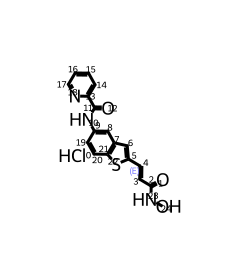 Cl.O=C(/C=C/c1cc2cc(NC(=O)c3ccccn3)ccc2s1)NO